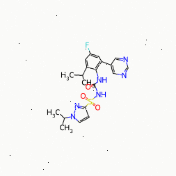 CC(C)c1cc(F)cc(-c2cncnc2)c1NC(=O)NS(=O)(=O)c1ccn(C(C)C)n1